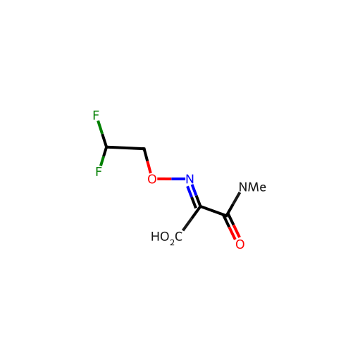 CNC(=O)C(=NOCC(F)F)C(=O)O